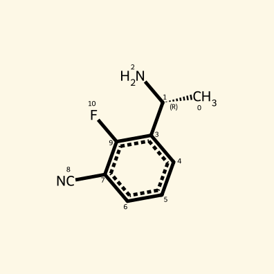 C[C@@H](N)c1cccc(C#N)c1F